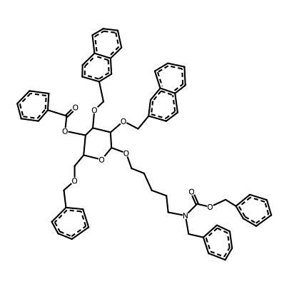 O=C(OC1C(COCc2ccccc2)OC(OCCCCCN(Cc2ccccc2)C(=O)OCc2ccccc2)C(OCc2ccc3ccccc3c2)C1OCc1ccc2ccccc2c1)c1ccccc1